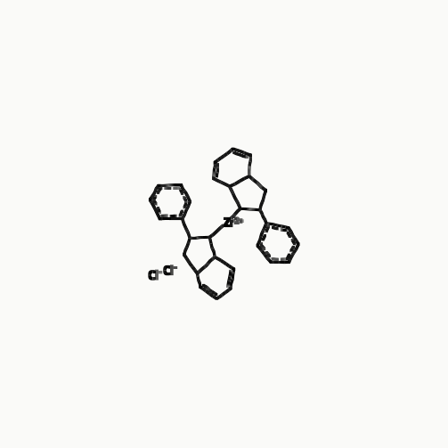 C1=CC2CC(c3ccccc3)[CH]([Zr+2][CH]3C(c4ccccc4)CC4C=CC=CC43)C2C=C1.[Cl-].[Cl-]